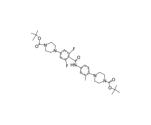 Cc1cc(NC(=O)c2c(F)cc(N3CCN(C(=O)OC(C)(C)C)CC3)cc2F)ccc1N1CCN(C(=O)OC(C)(C)C)CC1